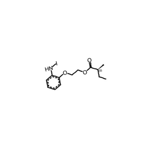 CC[C@H](C)C(=O)OCCOc1ccccc1NI